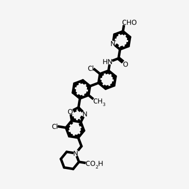 Cc1c(-c2nc3cc(CN4CCCCC4C(=O)O)cc(Cl)c3o2)cccc1-c1cccc(NC(=O)c2ccc(C=O)cn2)c1Cl